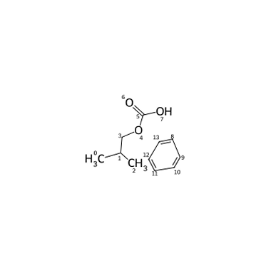 CC(C)COC(=O)O.c1ccccc1